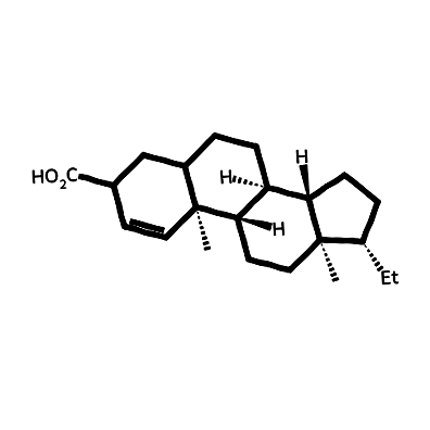 CC[C@H]1CC[C@H]2[C@@H]3CCC4CC(C(=O)O)C=C[C@]4(C)[C@H]3CC[C@]12C